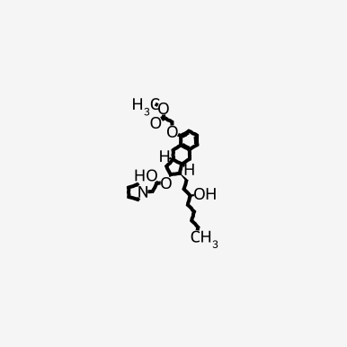 CCCCC[C@H](O)CC[C@@H]1[C@H]2Cc3cccc(OCC(=O)OC)c3C[C@H]2C[C@H]1OC(O)CN1CCCC1